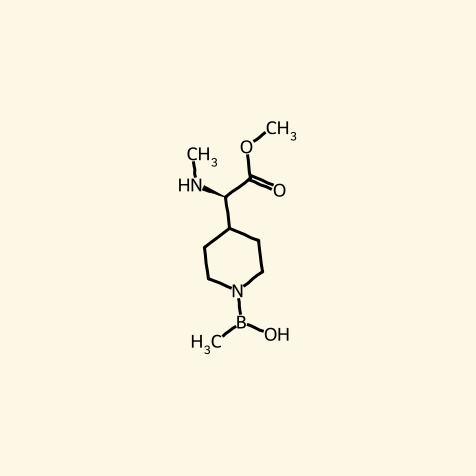 CN[C@@H](C(=O)OC)C1CCN(B(C)O)CC1